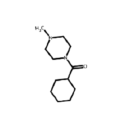 CN1CCN(C(=O)C2CCCCC2)CC1